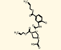 C=CCOC(=O)c1ccc(Cl)c(NC(=O)[C@@H]2C[C@@H](CC(=O)S)CN2C(=O)OCC=C)c1